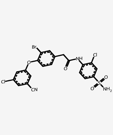 N#Cc1cc(Cl)cc(Oc2ccc(CC(=O)Nc3ccc(S(N)(=O)=O)cc3Cl)cc2Br)c1